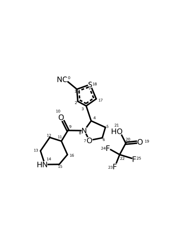 N#Cc1cc(C2CCON2C(=O)C2CCNCC2)cs1.O=C(O)C(F)(F)F